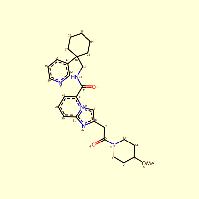 COC1CCN(C(=O)Cc2cn3c(C(=O)NCC4(c5cccnc5)CCCCC4)cccc3n2)CC1